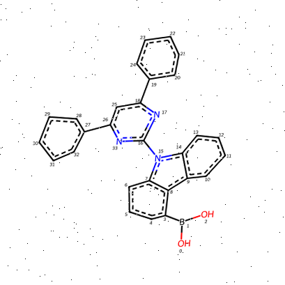 OB(O)c1cccc2c1c1ccccc1n2-c1nc(-c2ccccc2)cc(-c2ccccc2)n1